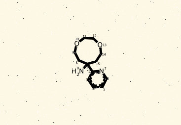 NC1(c2ccccn2)CCOCCOCC1